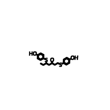 CCC(CC(=O)CCSc1ccc(O)cc1)Sc1ccc(O)cc1